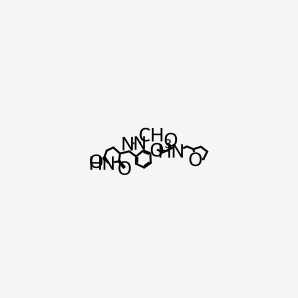 Cn1nc(C2CCC(=O)NC2=O)c2cccc(OCC(=O)NCC3CCCO3)c21